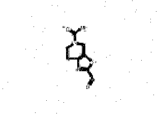 O=Cc1nc2c(s1)CN(C(=O)O)CC2